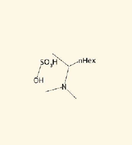 CCCCCCC(C)N(C)C.O=S(=O)(O)O